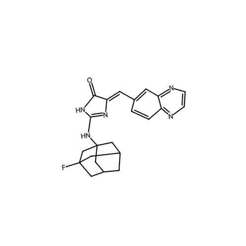 O=C1NC(NC23CC4CC(CC(F)(C4)C2)C3)=N/C1=C\c1ccc2nccnc2c1